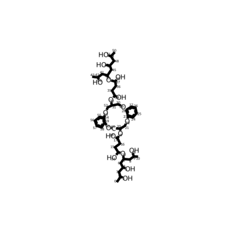 CC(O)CC(O)CC(CC(C)O)OC(O)CCC(O)OC1COc2ccccc2OCC(OC(O)CCC(O)OC(CC(C)O)CC(O)CC(C)O)COc2ccccc2OC1